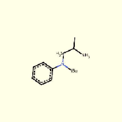 CCC(C)N([SiH2]C(C)[SiH3])c1ccccc1